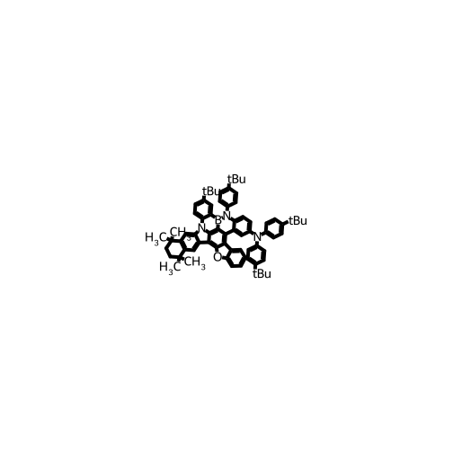 CC(C)(C)c1ccc(N2B3c4cc(C(C)(C)C)ccc4-n4c5cc6c(cc5c5c7oc8ccccc8c7c(c3c54)-c3cc(N(c4ccc(C(C)(C)C)cc4)c4ccc(C(C)(C)C)cc4)ccc32)C(C)(C)CCC6(C)C)cc1